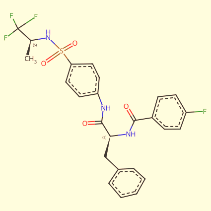 C[C@H](NS(=O)(=O)c1ccc(NC(=O)[C@H](Cc2ccccc2)NC(=O)c2ccc(F)cc2)cc1)C(F)(F)F